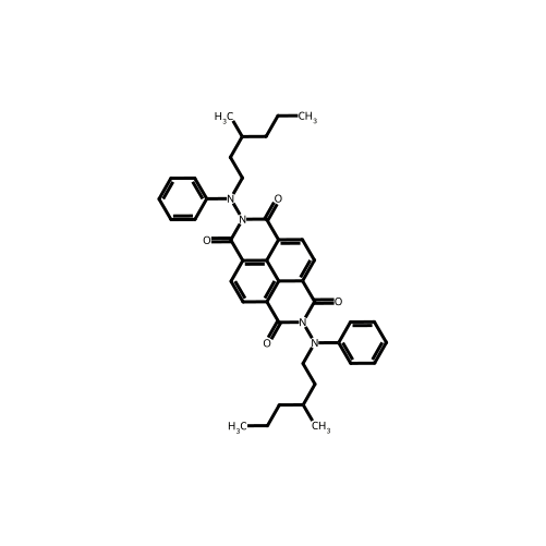 CCCC(C)CCN(c1ccccc1)N1C(=O)c2ccc3c4c(ccc(c24)C1=O)C(=O)N(N(CCC(C)CCC)c1ccccc1)C3=O